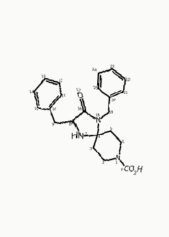 O=C(O)N1CCC2(CC1)NC(Cc1ccccc1)C(=O)N2Cc1ccccc1